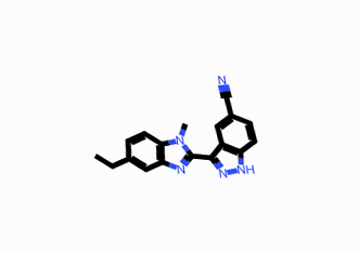 CCc1ccc2c(c1)nc(-c1n[nH]c3ccc(C#N)cc13)n2C